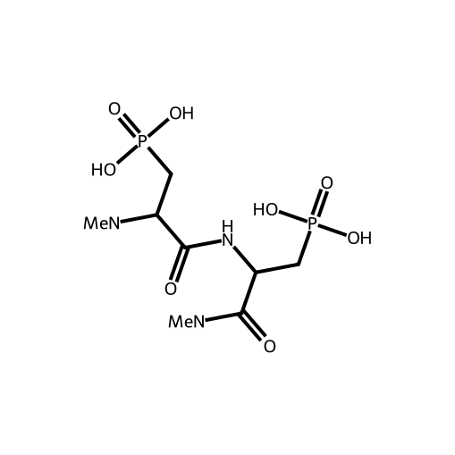 CNC(=O)C(CP(=O)(O)O)NC(=O)C(CP(=O)(O)O)NC